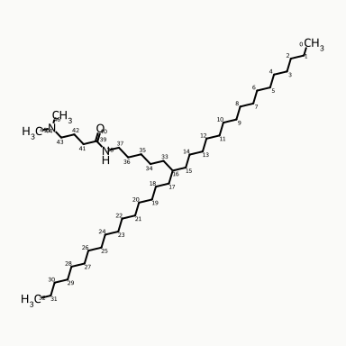 CCCCCCCCCCCCCCCCC(CCCCCCCCCCCCCCCC)CCCCCNC(=O)CCCN(C)C